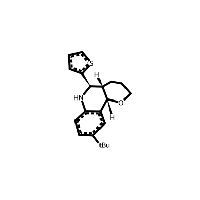 CC(C)(C)c1ccc2c(c1)[C@H]1OCCC[C@H]1[C@H](c1cccs1)N2